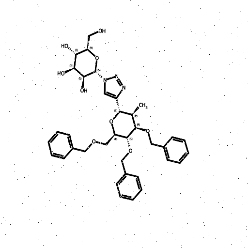 C[C@H]1[C@@H](OCc2ccccc2)[C@H](OCc2ccccc2)[C@@H](COCc2ccccc2)O[C@@H]1c1cn([C@H]2O[C@H](CO)[C@@H](O)[C@H](O)[C@@H]2O)nn1